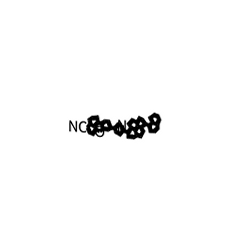 N#Cc1ccc2c3c(cccc13)-c1ccc(-c3ccc(-c4ccc5ccc6c(-c7cccc8ccccc78)ccc7ccc4c5c76)nc3)cc1O2